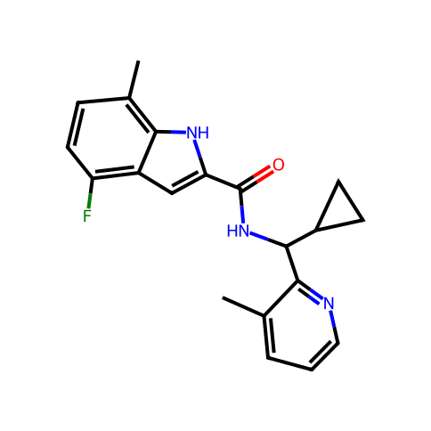 Cc1cccnc1C(NC(=O)c1cc2c(F)ccc(C)c2[nH]1)C1CC1